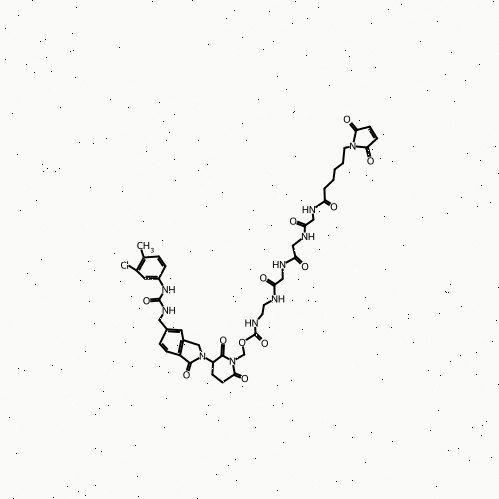 Cc1ccc(NC(=O)NCc2ccc3c(c2)CN(C2CCC(=O)N(COC(=O)NCCNC(=O)CNC(=O)CNC(=O)CNC(=O)CCCCCN4C(=O)C=CC4=O)C2=O)C3=O)cc1Cl